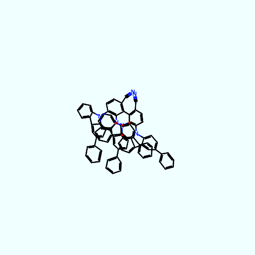 N#Cc1ccc(-n2c3ccccc3c3cc(-c4ccccc4)ccc32)c(-n2c3ccccc3c3cc(-c4ccccc4)ccc32)c1-c1c(C#N)ccc(-n2c3ccccc3c3cc(-c4ccccc4)ccc32)c1-n1c2ccccc2c2cc(-c3ccccc3)ccc21